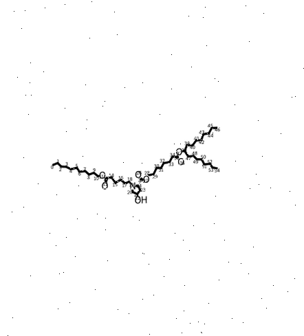 CCCCCCCCCCCOC(=O)CCCCCN1C[C@H](O)C[C@H]1C(=O)OCCCCCCCC(=O)OC(CCCCCCCC)CCCCCCCC